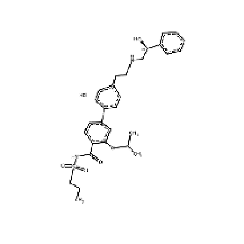 CCCS(=O)(=O)NC(=O)c1ccc(-c2ccc(CCNC[C@@H](O)c3ccccc3)cc2)cc1OC(C)C.Cl